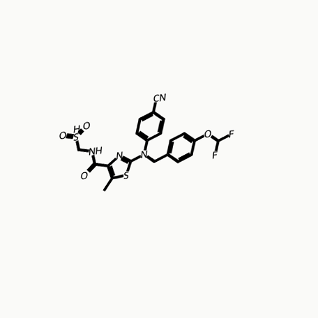 Cc1sc(N(Cc2ccc(OC(F)F)cc2)c2ccc(C#N)cc2)nc1C(=O)NC[SH](=O)=O